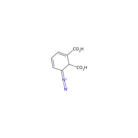 [N-]=[N+]=C1C=CC=C(C(=O)O)C1C(=O)O